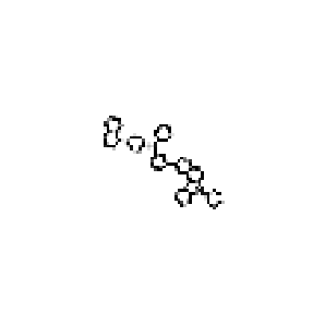 c1ccc(N(c2ccc(-c3cccc4ccccc34)cc2)c2cccc(-c3ccc4ccc5c(c4c3)c3ccccc3n5-c3ccccc3)c2)cc1